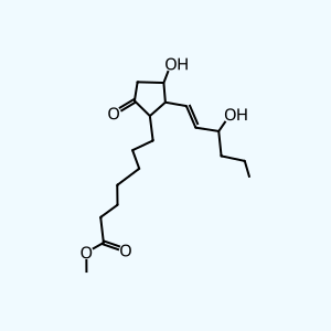 CCCC(O)C=CC1C(O)CC(=O)C1CCCCCCC(=O)OC